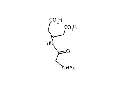 CC(=O)NCC(=O)NN(CC(=O)O)CC(=O)O